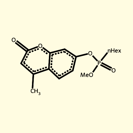 CCCCCCP(=O)(OC)Oc1ccc2c(C)cc(=O)oc2c1